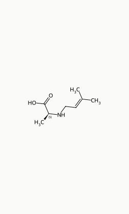 CC(C)=CCN[C@@H](C)C(=O)O